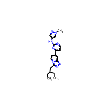 CCC(CC)Cc1nnc2cc(-c3ccnc(Nc4cnn(C)c4)n3)ccn12